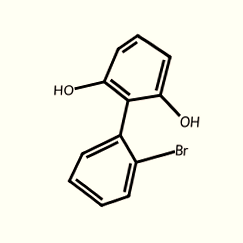 Oc1cccc(O)c1-c1ccccc1Br